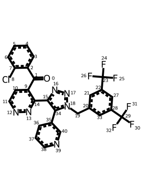 O=C(c1ccccc1Cl)c1ccnnc1-c1nnn(Cc2cc(C(F)(F)F)cc(C(F)(F)F)c2)c1-c1cccnc1